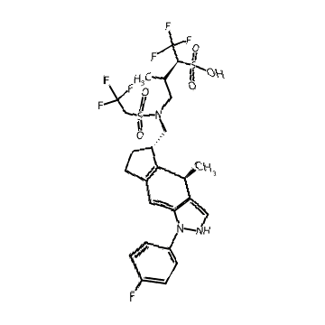 CC(CN(C[C@H]1CCC2=C1[C@@H](C)C1=CNN(c3ccc(F)cc3)C1=C2)S(=O)(=O)CC(F)(F)F)[C@@H](C(F)(F)F)S(=O)(=O)O